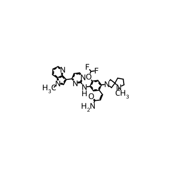 CN1CCCC12CN(c1cc(OC(F)F)c(Nc3nccc(-c4cn(C)c5cccnc45)n3)cc1C=CC(N)=O)C2